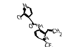 C=Cc1nc(C(F)(F)F)ccc1NC(=O)c1ccncc1Cl